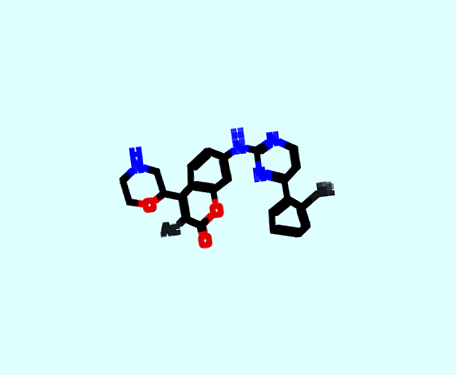 CCc1ccccc1-c1ccnc(Nc2ccc3c(C4CNCCO4)c(C(C)=O)c(=O)oc3c2)n1